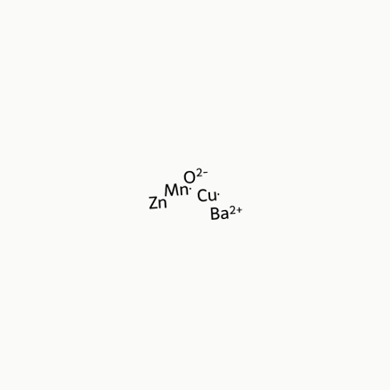 [Ba+2].[Cu].[Mn].[O-2].[Zn]